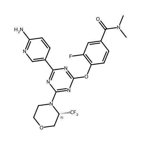 CN(C)C(=O)c1ccc(Oc2nc(-c3ccc(N)nc3)nc(N3CCOC[C@H]3C(F)(F)F)n2)c(F)c1